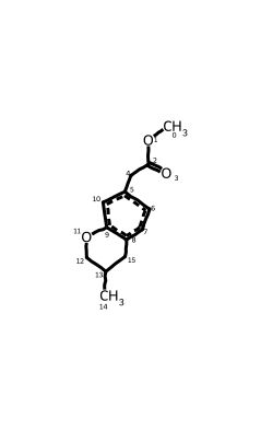 COC(=O)Cc1ccc2c(c1)OCC(C)C2